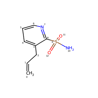 C=CCc1cccnc1S(N)(=O)=O